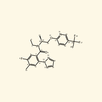 CCN(C(=O)c1cc(F)c(C)cc1-n1nccn1)[C@@H](C)COc1ccc(C(F)(F)F)cn1